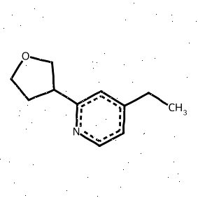 CCc1ccnc(C2CCOC2)c1